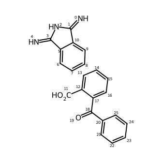 N=C1NC(=N)c2ccccc21.O=C(O)c1ccccc1C(=O)c1ccccc1